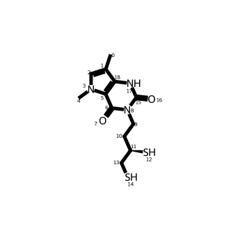 Cc1cn(C)c2c(=O)n(CC[C@@H](S)CS)c(=O)[nH]c12